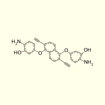 C#Cc1ccc2c(Oc3ccc(N)c(O)c3)c(C#C)ccc2c1Oc1ccc(N)c(O)c1